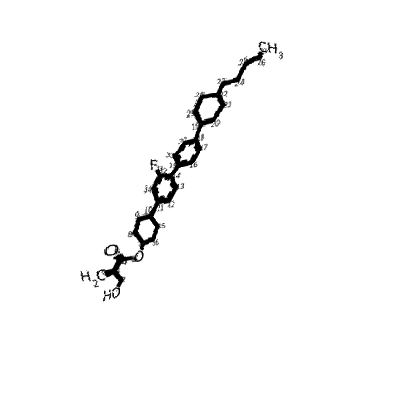 C=C(CO)C(=O)OC1CCC(c2ccc(-c3ccc(C4CCC(CCCCC)CC4)cc3)c(F)c2)CC1